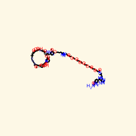 CO[C@H]1C[C@@H]2CC[C@@H](C)[C@@](O)(O2)C(=O)C(=O)N2CCCC[C@H]2C(=O)O[C@H]([C@H](N)C[C@@H]2CC[C@@H](OCCCCc3cn(CCOCCOCCOCCOCCOCCOCCOCCOCCC(=O)N4CC(Cn5nc(-c6ccc7oc(N)nc7c6)c6c(N)ncnc65)C4)nn3)[C@H](OC)C2)CC(=O)[C@H](C)/C=C(\C)[C@@H](O)[C@@H](O)C(=O)[C@H](C)C[C@H](C)/C=C/C=C/C=C/1C